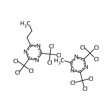 CCCc1nc(C(Cl)(Cl)Cl)nc(C(Cl)(Cl)Cl)n1.Cc1nc(C(Cl)(Cl)Cl)nc(C(Cl)(Cl)Cl)n1